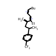 C=C(CC(C)c1ccc(C(F)(F)F)cc1)/C(=C\C=C/C(C)CC)CC